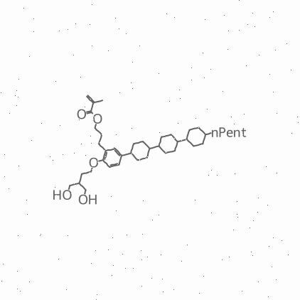 C=C(C)C(=O)OCCCc1cc(C2CCC(C3CCC(C4CCC(CCCCC)CC4)CC3)CC2)ccc1OCCC(CO)CO